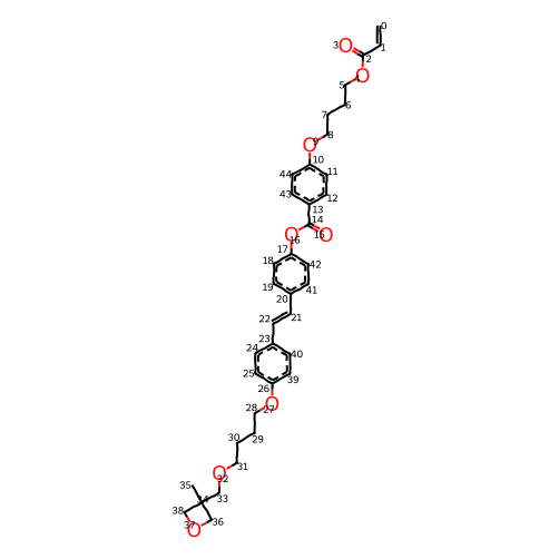 C=CC(=O)OCCCCOc1ccc(C(=O)Oc2ccc(C=Cc3ccc(OCCCCOCC4(C)COC4)cc3)cc2)cc1